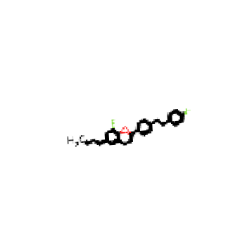 C=CCCc1cc(F)c2c(c1)CCC(c1ccc(CCc3ccc(F)cc3)cc1)O2